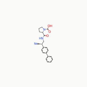 N#C[C@@H](CNC(=O)C1CCCN1C(=O)O)c1ccc(-c2ccccc2)cc1